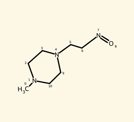 CN1CCN(CCN=O)CC1